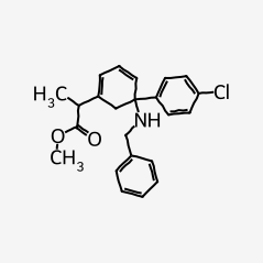 COC(=O)C(C)C1=CC=CC(NCc2ccccc2)(c2ccc(Cl)cc2)C1